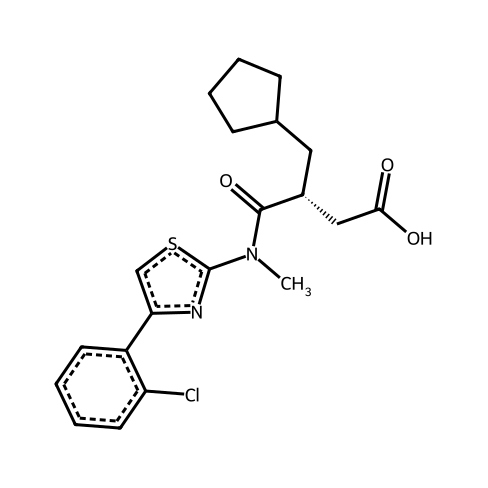 CN(C(=O)[C@@H](CC(=O)O)CC1CCCC1)c1nc(-c2ccccc2Cl)cs1